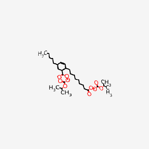 CCCCCC1C=CC(CCCCCCCCC(=O)OOC(=O)OC(C)C)C(C(=O)OOC(=O)OC(C)C)C1